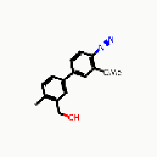 COc1cc(-c2ccc(C)c(CO)c2)ccc1[N+]#N